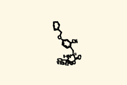 COC(=O)[C@H](Cc1ccc(OCc2ccccc2)cc1C#N)NC(=O)OC(C)(C)C